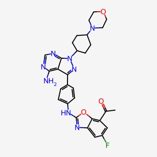 CC(=O)c1cc(F)cc2nc(Nc3ccc(-c4nn(C5CCC(N6CCOCC6)CC5)c5ncnc(N)c45)cc3)oc12